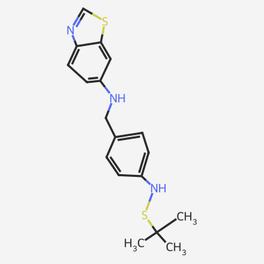 CC(C)(C)SNc1ccc(CNc2ccc3ncsc3c2)cc1